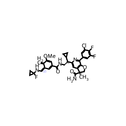 C=c1c(OC)cc(C(=O)NC[C@H](c2cc3c(c(-c4cc(F)c(F)c(Cl)c4)n2)OC[C@]3(C)C(N)=O)C2CC2)c/c1=C/NC1(F)CC1